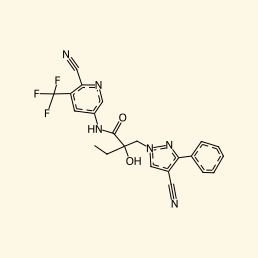 CCC(O)(Cn1cc(C#N)c(-c2ccccc2)n1)C(=O)Nc1cnc(C#N)c(C(F)(F)F)c1